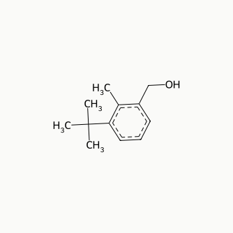 Cc1c(CO)cccc1C(C)(C)C